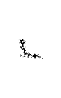 C=C(CCc1nnc(-c2cncc(F)c2)o1)NC(=O)CO[C@H]1C[C@@H](OC(F)(F)F)C1